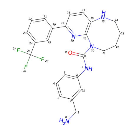 NCc1cccc(NC(=O)N2CCCCNc3ccc(-c4cccc(C(F)(F)F)c4)nc32)c1